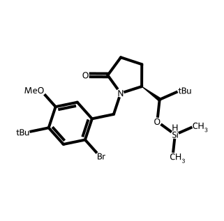 COc1cc(CN2C(=O)CC[C@H]2C(O[SiH](C)C)C(C)(C)C)c(Br)cc1C(C)(C)C